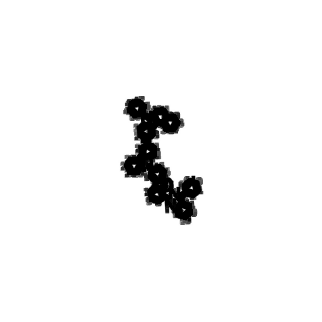 c1ccc(-c2nc(-c3cccc4c3oc3ccc(-n5c6ccccc6c6cc(-c7ccc8c(c7)c7c9ccccc9ccc7n8-c7ccccc7)ccc65)cc34)nc3ccccc23)cc1